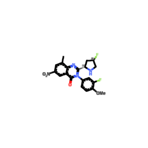 COc1ccc(-n2c([C@@H]3C[C@@H](F)CN3)nc3c(C)cc([N+](=O)[O-])cc3c2=O)cc1F